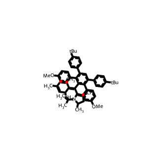 C=C(C)N1C(/C(=C2/C(C)=CC(C)=CC2C)c2c(-c3ccc(OC)cc3)c(-c3ccc(C(C)(C)C)cc3)cc(-c3ccc(C(C)(C)C)cc3)c2-c2ccc(OC)cc2)=C(C)CC1C